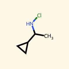 CC(NCl)C1CC1